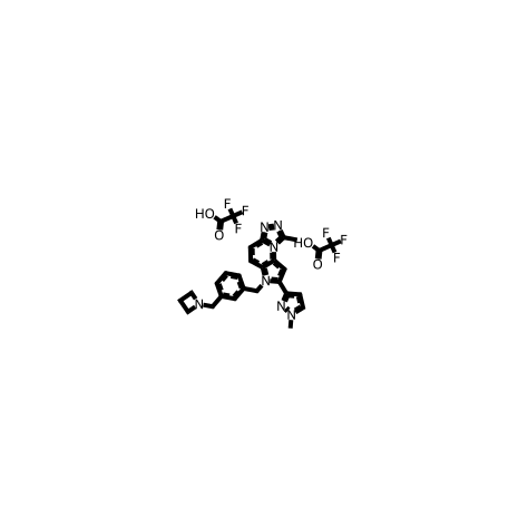 Cc1nnc2ccc3c(cc(-c4ccn(C)n4)n3Cc3cccc(CN4CCC4)c3)n12.O=C(O)C(F)(F)F.O=C(O)C(F)(F)F